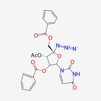 CC(=O)O[C@H]1C(OC(=O)c2ccccc2)C(n2ccc(=O)[nH]c2=O)O[C@@]1(COC(=O)c1ccccc1)N=[N+]=[N-]